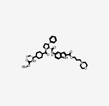 CC(C)(C)OC(=O)N[C@H](CF)C1CCC(C(=O)N2CC[C@H](c3ccccc3)[C@@H]2C(=O)Nc2ccc3[nH]c(C(=O)OCCCN4CCOCC4)cc3c2)CC1